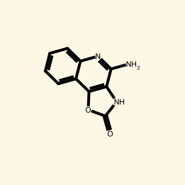 Nc1nc2ccccc2c2oc(=O)[nH]c12